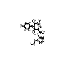 CCCn1nnnc1NC(=O)c1nn(C)c(=O)n(-c2ccc(F)cc2)c1=O